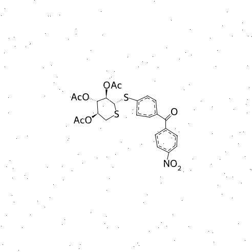 CC(=O)O[C@@H]1[C@@H](OC(C)=O)[C@H](Sc2ccc(C(=O)c3ccc([N+](=O)[O-])cc3)cc2)SC[C@H]1OC(C)=O